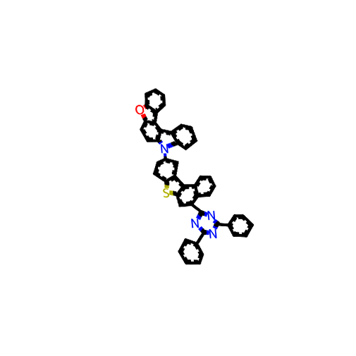 c1ccc(-c2nc(-c3ccccc3)nc(-c3cc4sc5ccc(-n6c7ccccc7c7c8c(ccc76)oc6ccccc68)cc5c4c4ccccc34)n2)cc1